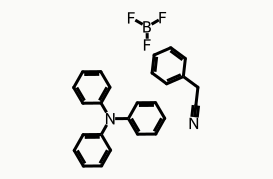 FB(F)F.N#CCc1ccccc1.c1ccc(N(c2ccccc2)c2ccccc2)cc1